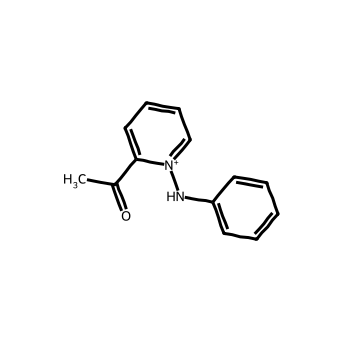 CC(=O)c1cccc[n+]1Nc1ccccc1